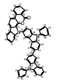 O=c1oc2c(ccc3c4ccccc4n(-c4ccc5c(c4)c4cc(-c6ccc7c(c6)c6ccccc6n7-c6ccccc6)ccc4n5-c4ccccc4)c32)c2ccccc12